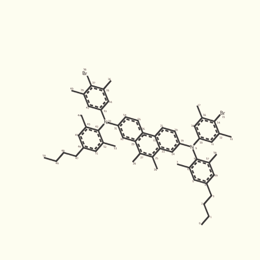 CCCCc1cc(C)c(N(c2cc(C)c(Br)c(C)c2)c2ccc3c(c2)c(C)c(C)c2cc(N(c4cc(C)c(Br)c(C)c4)c4c(C)cc(CCCC)cc4C)ccc23)c(C)c1